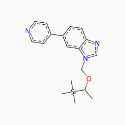 CC(OCn1cnc2ccc(-c3ccncc3)cc21)[Si](C)(C)C